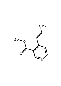 COC=Cc1ccncc1C(=O)OC(C)(C)C